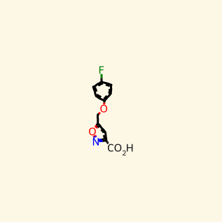 O=C(O)c1cc(COc2ccc(F)cc2)on1